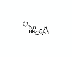 O=C(N[C@@H]1C=CS(=O)(=Nc2cncnc2)C1)OCc1ccccc1